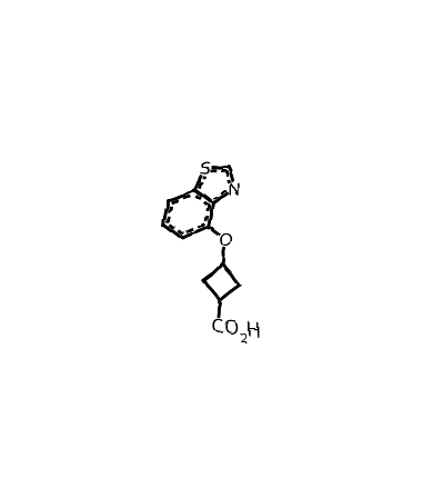 O=C(O)C1CC(Oc2cccc3scnc23)C1